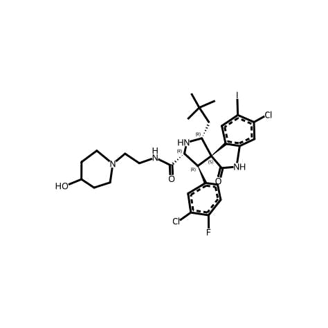 CC(C)(C)C[C@H]1N[C@@H](C(=O)NCCN2CCC(O)CC2)[C@H](c2ccc(F)c(Cl)c2)[C@@]12C(=O)Nc1cc(Cl)c(I)cc12